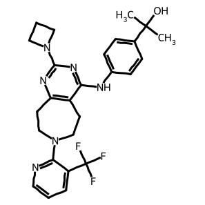 CC(C)(O)c1ccc(Nc2nc(N3CCC3)nc3c2CCN(c2ncccc2C(F)(F)F)CC3)cc1